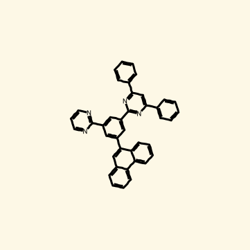 c1ccc(-c2cc(-c3ccccc3)nc(-c3cc(-c4ncccn4)cc(-c4cc5ccccc5c5ccccc45)c3)n2)cc1